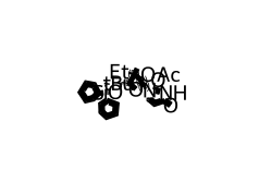 CC[C@]1(C)[C@@H](CO[Si](c2ccccc2)(c2ccccc2)C(C)(C)C)O[C@@H](n2ccc(=O)[nH]c2=O)[C@@H]1OC(C)=O